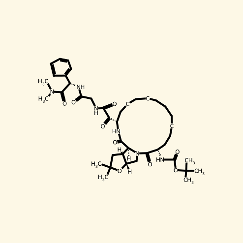 CN(C)C(=O)[C@@H](NC(=O)CNC(=O)C(=O)[C@@H]1CCCCCCCCCC[C@H](NC(=O)OC(C)(C)C)C(=O)N2C[C@@H]3OC(C)(C)C[C@@H]3[C@H]2C(=O)N1)c1ccccc1